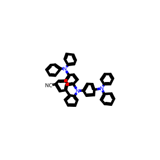 N#Cc1cccc(-c2ccccc2N(c2ccc(N(c3ccccc3)c3ccccc3)cc2)c2ccc(N(c3ccccc3)c3ccccc3)cc2)c1